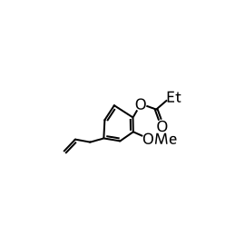 C=CCc1ccc(OC(=O)CC)c(OC)c1